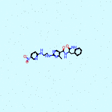 Cc1nc(NCCNc2ccc([N+](=O)[O-])cn2)ncc1C(=O)NC(Cc1ccccc1)C(N)=O